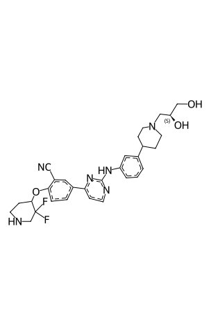 N#Cc1cc(-c2ccnc(Nc3cccc(C4CCN(C[C@H](O)CO)CC4)c3)n2)ccc1OC1CCNCC1(F)F